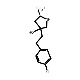 O=C(O)[C@@H]1CC(O)(CCc2ccc(Cl)cc2)CN1